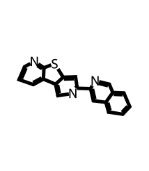 c1ccc2cc(-c3cc4sc5ncccc5c4cn3)ncc2c1